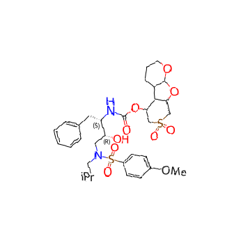 COc1ccc(S(=O)(=O)N(CC(C)C)C[C@@H](O)[C@H](Cc2ccccc2)NC(=O)OC2CS(=O)(=O)CC3OC4OCCCC4C23)cc1